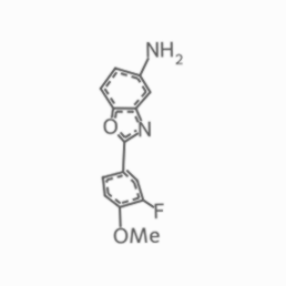 COc1ccc(-c2nc3cc(N)ccc3o2)cc1F